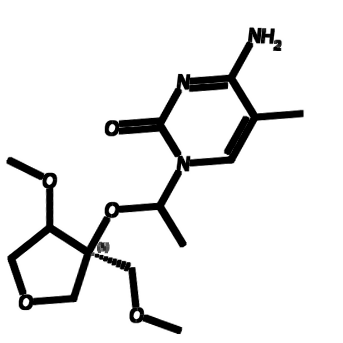 COC[C@]1(OC(C)n2cc(C)c(N)nc2=O)COCC1OC